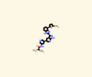 Cc1ccc(-c2cccc3[nH]c(-c4n[nH]c5ncc(-c6cncc(NC(=O)C(C)C)c6)cc45)nc23)s1